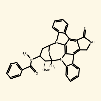 CO[C@@H]1C(N(C)C(=O)c2ccccc2)CC2OC1(C)n1c3ccccc3c3c4c(c5c6ccccc6n2c5c31)C(=O)NC4